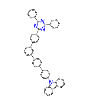 c1ccc(-c2nc(-c3ccccc3)nc(-c3ccc(-c4cccc(-c5ccc(-c6ccc(-n7c8ccccc8c8ccccc87)cc6)cc5)c4)cc3)n2)cc1